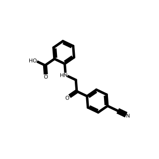 N#Cc1ccc(C(=O)CNc2ccccc2C(=O)O)cc1